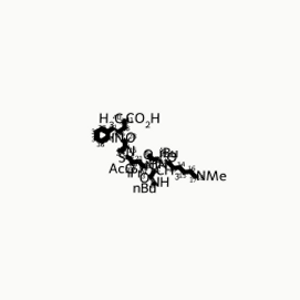 CCCCNC(=O)C(C)N(C(=O)[C@@H](NC(=O)CCCCCNC)[C@@H](C)CC)[C@H](C[C@@H](OC(C)=O)c1nc(C(=O)N[C@@H](Cc2ccccc2)C[C@H](C)C(=O)O)cs1)C(C)C